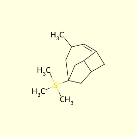 CC1C=C2CC3CC(S(C)(C)C)(C1)CC23